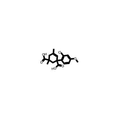 COc1ccc(C2(C(=O)O)C=C(C)CC(C)(C(=O)O)C2)c(Cl)c1